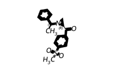 C[C@@H](c1ccccc1)N1C[C@@H]1C(=O)c1ccc(S(C)(=O)=O)cc1